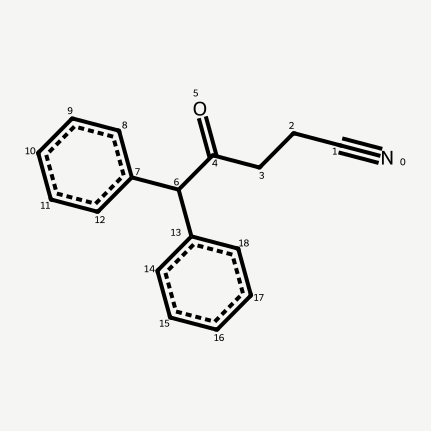 N#CCCC(=O)C(c1ccccc1)c1ccccc1